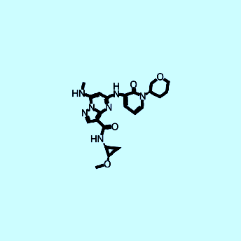 CNc1cc(Nc2cccn([C@@H]3CCCOC3)c2=O)nc2c(C(=O)N[C@@H]3C[C@H]3OC)cnn12